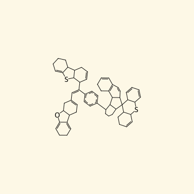 C1=CC2SC3C=CCCC3C3(C2C=C1)C1C=CC2=C(CCC=C2)C1C1C(c2ccc(/C(=C\C4=CCC5C6=CCCC=C6OC5C4)C4C=CCC5C6CCCC=C6SC45)cc2)CCCC13